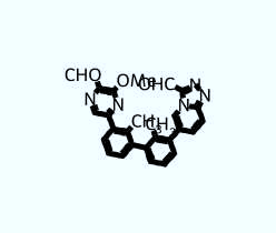 COc1nc(-c2cccc(-c3cccc(-c4ccc5nnc(C=O)n5c4)c3C)c2C)cnc1C=O